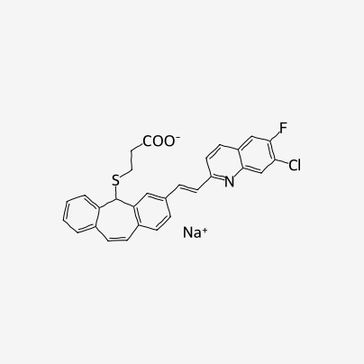 O=C([O-])CCSC1c2ccccc2C=Cc2ccc(C=Cc3ccc4cc(F)c(Cl)cc4n3)cc21.[Na+]